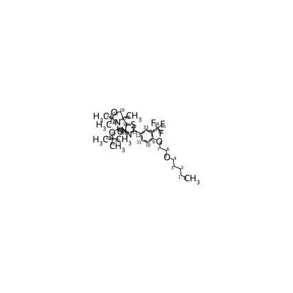 CCCCCOCCOc1ccc(-c2nnc(C3(C)COC(C)(C)N3C(=O)OC(C)(C)C)s2)cc1C(F)(F)F